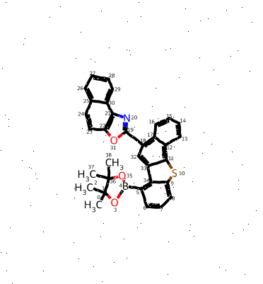 CC1(C)OB(c2cccc3sc4c5ccccc5c(-c5nc6c(ccc7ccccc76)o5)cc4c23)OC1(C)C